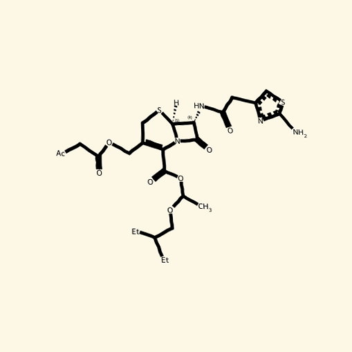 CCC(CC)COC(C)OC(=O)C1=C(COC(=O)CC(C)=O)CS[C@H]2[C@H](NC(=O)Cc3csc(N)n3)C(=O)N12